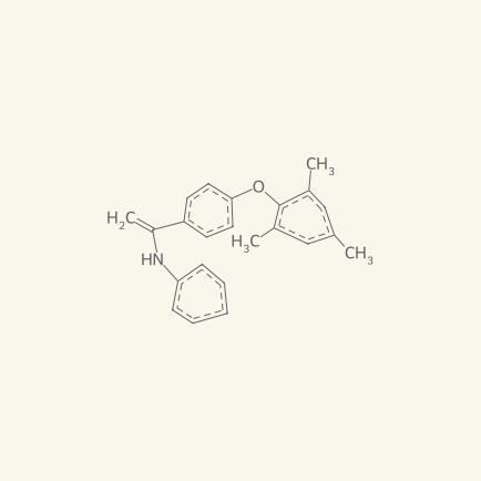 C=C(Nc1ccccc1)c1ccc(Oc2c(C)cc(C)cc2C)cc1